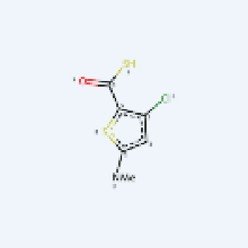 CNc1cc(Cl)c(C(=O)S)s1